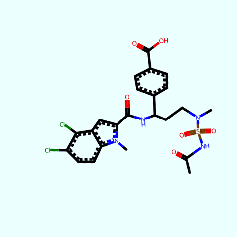 CC(=O)NS(=O)(=O)N(C)CCC(NC(=O)c1cc2c(Cl)c(Cl)ccc2n1C)c1ccc(C(=O)O)cc1